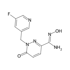 NC(=NO)c1ccc(=O)n(Cc2cncc(F)c2)n1